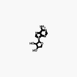 Nc1ncnc2c1ncn2C1OCC(O)C1O